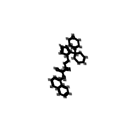 O=C(NCCn1nnnc1C1(N2CCOCC2)CCCCC1)Oc1cccc2ccccc12